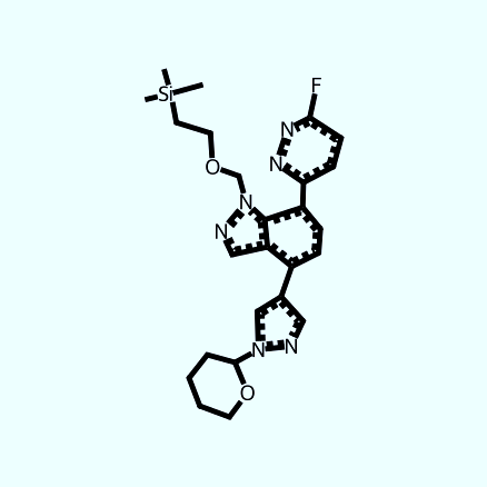 C[Si](C)(C)CCOCn1ncc2c(-c3cnn(C4CCCCO4)c3)ccc(-c3ccc(F)nn3)c21